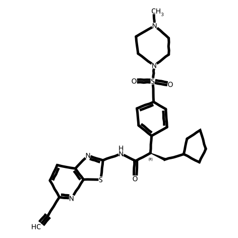 C#Cc1ccc2nc(NC(=O)[C@H](CC3CCCC3)c3ccc(S(=O)(=O)N4CCN(C)CC4)cc3)sc2n1